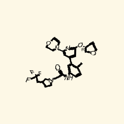 Cc1ccc(NC(=O)N2CCC(CC(F)(F)F)C2)cc1-c1cc(O[C@@H]2CCOC2)nc(N2CCOCC2)c1